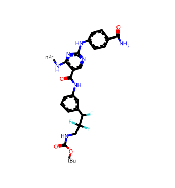 CCCNc1nc(Nc2ccc(C(N)=O)cc2)ncc1C(=O)Nc1cccc(C(F)C(F)(F)CNC(=O)OC(C)(C)C)c1